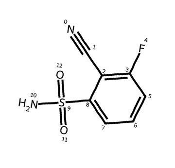 N#Cc1c(F)cccc1S(N)(=O)=O